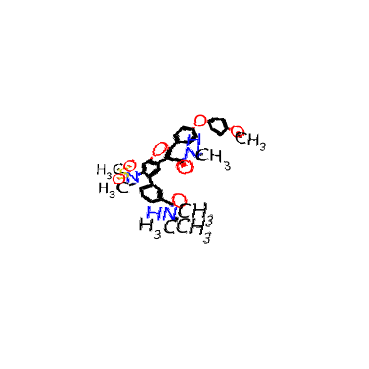 CCN(c1cc2oc(-c3ccc(Oc4ccc(OC)cc4)cc3)c(C(=O)NC)c2cc1-c1cccc(C(=O)NC(C)(C)C)c1)S(C)(=O)=O